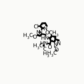 COCn1ncc2cc(C)c(NC(=O)c3cc(OC)nn3-c3ncccc3Cl)c(C(=O)NC(C)C)c21